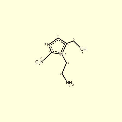 NCCn1c(CO)cnc1[N+](=O)[O-]